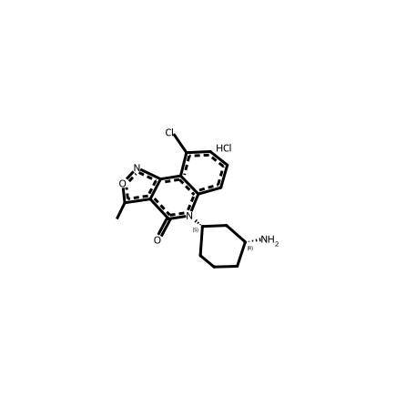 Cc1onc2c1c(=O)n([C@H]1CCC[C@@H](N)C1)c1cccc(Cl)c21.Cl